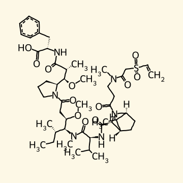 C=CS(=O)(=O)CC(=O)N(C)CCC(=O)N1[C@H](C(=O)N[C@H](C(=O)N(C)[C@@H]([C@@H](C)CC)[C@@H](CC(=O)N2CCC[C@H]2[C@H](OC)[C@@H](C)C(=O)N[C@@H](Cc2ccccc2)C(=O)O)OC)C(C)C)[C@H]2CC[C@H]1[C@H]2C